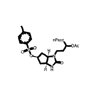 CCCCCC(CCN1C(=O)N[C@H]2C[C@@H](OS(=O)(=O)c3ccc(C)cc3)C[C@H]21)OC(C)=O